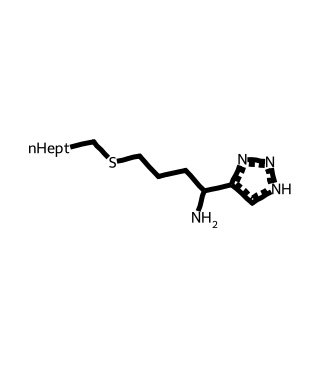 CCCCCCCCSCCCC(N)c1c[nH]nn1